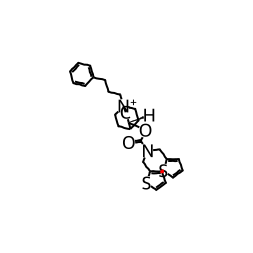 O=C(O[C@H]1C[N+]2(CCCc3ccccc3)CCC1CC2)N(Cc1cccs1)Cc1cccs1